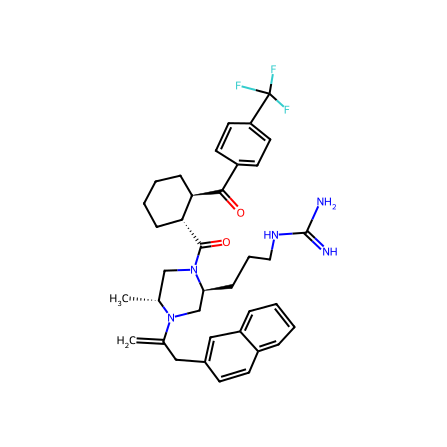 C=C(Cc1ccc2ccccc2c1)N1C[C@H](CCCNC(=N)N)N(C(=O)[C@@H]2CCCC[C@H]2C(=O)c2ccc(C(F)(F)F)cc2)C[C@H]1C